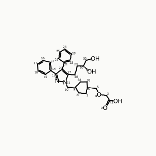 O=C(O)COC[C@H]1CC[C@@H](Cn2nc(-c3ccccc3)c(-c3ccccc3)c2CC[C@H](O)CO)CC1